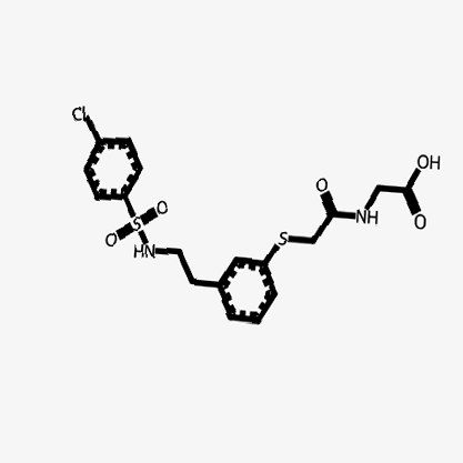 O=C(O)CNC(=O)CSc1cccc(CCNS(=O)(=O)c2ccc(Cl)cc2)c1